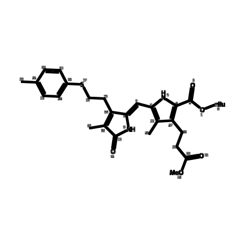 CCCCOC(=O)c1[nH]c(/C=C2\NC(=O)C(C)=C2CCSc2ccc(C)cc2)c(C)c1CCC(=O)OC